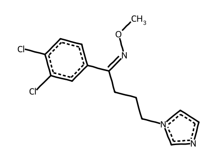 CO/N=C(/CCCn1ccnc1)c1ccc(Cl)c(Cl)c1